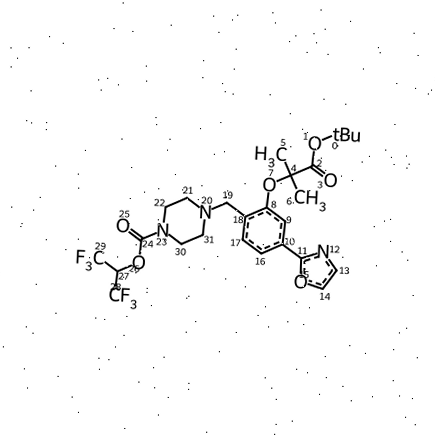 CC(C)(C)OC(=O)C(C)(C)Oc1cc(-c2ncco2)ccc1CN1CCN(C(=O)OC(C(F)(F)F)C(F)(F)F)CC1